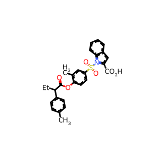 CCC(C(=O)Oc1ccc(S(=O)(=O)n2c(C(=O)O)cc3ccccc32)cc1C)c1ccc(C)cc1